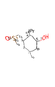 CC1CCC(C(C)C)C(O)C1.C[S+](C)[O-]